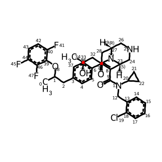 CC(Cc1ccc(C2=C(C(=O)N(Cc3ccccc3Cl)C3CC3)[C@H]3CNC[C@@H](C2)N3C(=O)C[C@H](C)O)cc1)Oc1c(F)ccc(F)c1F